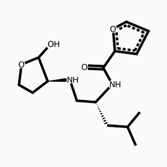 CC(C)C[C@H](CN[C@H]1CCOC1O)NC(=O)c1ccco1